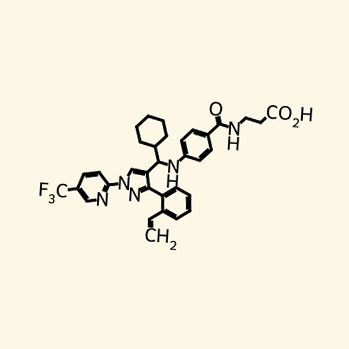 C=Cc1ccccc1-c1nn(-c2ccc(C(F)(F)F)cn2)cc1C(Nc1ccc(C(=O)NCCC(=O)O)cc1)C1CCCCC1